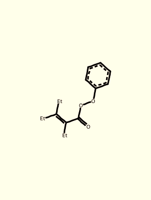 CCC(CC)=C(CC)C(=O)OOc1ccccc1